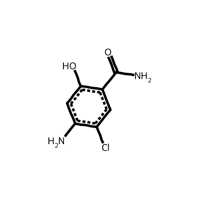 NC(=O)c1cc(Cl)c(N)cc1O